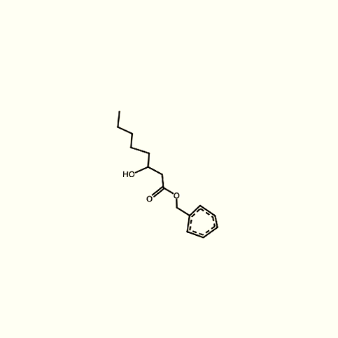 CCCCCC(O)CC(=O)OCc1ccccc1